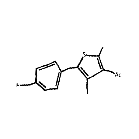 CC(=O)c1c(C)sc(-c2ccc(F)cc2)c1C